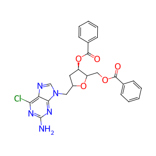 Nc1nc(Cl)c2ncn(CC3C[C@@H](OC(=O)c4ccccc4)C(COC(=O)c4ccccc4)O3)c2n1